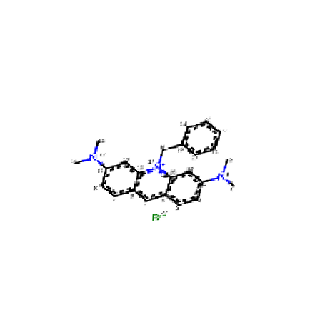 CN(C)c1ccc2cc3ccc(N(C)C)cc3[n+](Cc3ccccc3)c2c1.[Br-]